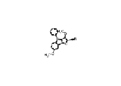 COc1ccc2c(c1)c1oc(C#N)c(OC)c1n2-c1ccccc1